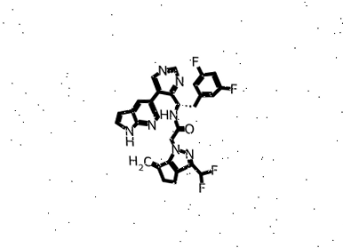 C=C1CCc2c(C(F)F)nn(CC(=O)N[C@@H](Cc3cc(F)cc(F)c3)c3ncncc3-c3cnc4[nH]ccc4c3)c21